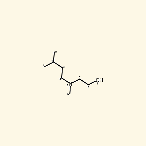 CC(C)CCN(C)CCO